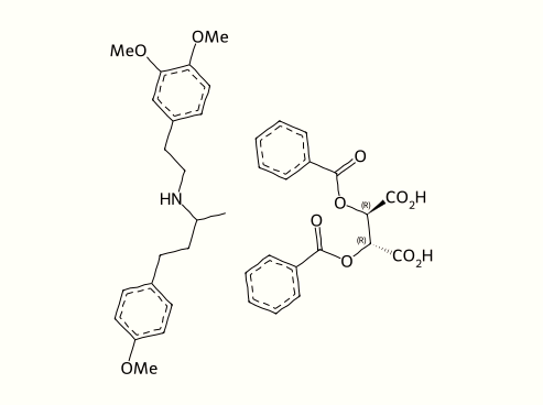 COc1ccc(CCC(C)NCCc2ccc(OC)c(OC)c2)cc1.O=C(O[C@@H](C(=O)O)[C@@H](OC(=O)c1ccccc1)C(=O)O)c1ccccc1